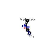 COc1cc(CCc2cc(NC(=O)c3ccc(N4CCCN(C)CC4)cc3)[nH]n2)cc(OC)c1